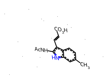 CC(=O)Nc1[nH]c2cc(C)ccc2c1C=CC(=O)O